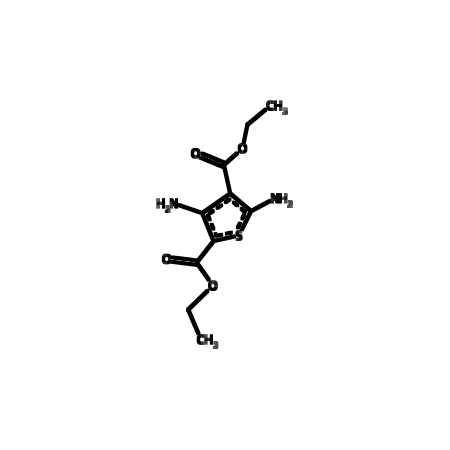 CCOC(=O)c1sc(N)c(C(=O)OCC)c1N